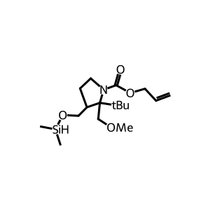 C=CCOC(=O)N1CCC(CO[SiH](C)C)C1(COC)C(C)(C)C